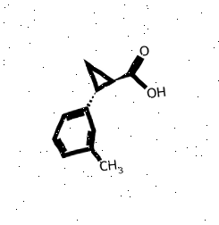 Cc1cccc([C@@H]2C[C@H]2C(=O)O)c1